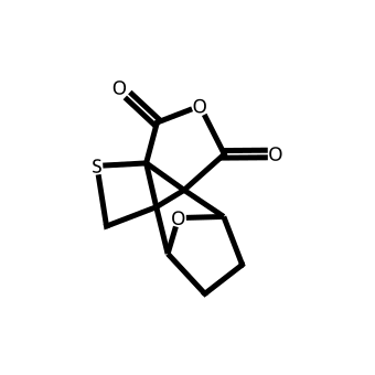 O=C1OC(=O)C23C4CCC(O4)C24CSC143